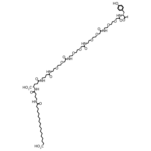 O=C(O)CCCCCCCCCCCCCCCCC(=O)NCCCC(=O)N[C@@H](CCC(=O)NCCCC(=O)NCCOCCOCC(=O)NCCOCCOCC(=O)NCCOCCOCC(=O)NCCOCCOCC(=O)N[C@@H](Cc1ccc(O)cc1)C(=O)I)C(=O)O